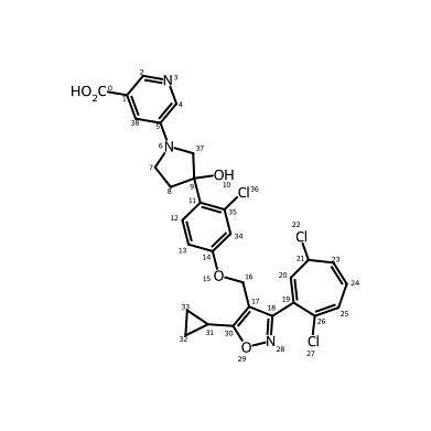 O=C(O)c1cncc(N2CCC(O)(c3ccc(OCc4c(C5=CC(Cl)C=CC=C5Cl)noc4C4CC4)cc3Cl)C2)c1